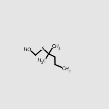 CCCC(C)(C)SCO